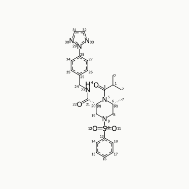 CC(C)C(=O)N1[C@H](C)CN(S(=O)(=O)c2ccccc2)C[C@@H]1C(=O)NCc1ccc(-n2nccn2)cc1